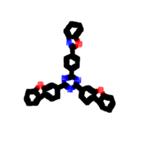 c1ccc2oc(-c3ccc(-c4nc(-c5ccc6c(c5)oc5ccccc56)nc(-c5ccc6c(c5)oc5ccccc56)n4)cc3)nc2c1